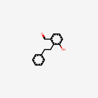 O=Cc1cccc(O)c1CCc1ccccc1